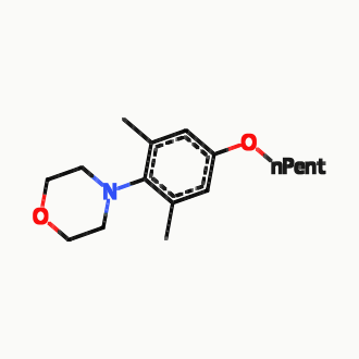 CCCCCOc1cc(C)c(N2CCOCC2)c(C)c1